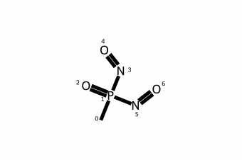 CP(=O)(N=O)N=O